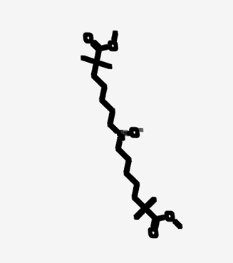 COC(=O)C(C)(C)CCCCC[S+]([O-])CCCCCC(C)(C)C(=O)OC